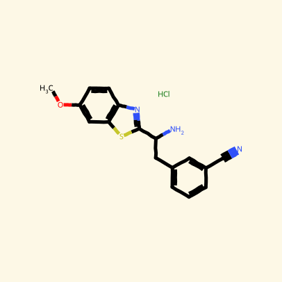 COc1ccc2nc(C(N)Cc3cccc(C#N)c3)sc2c1.Cl